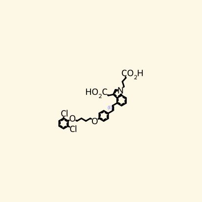 O=C(O)CCCn1cc(CC(=O)O)c2c(/C=C/c3ccc(OCCCCOc4c(Cl)cccc4Cl)cc3)cccc21